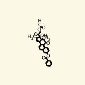 CC(=O)OCC(=O)[C@@]1(O)[C@H](C)C=C2c3ccc4cc(OC(=O)c5ccccc5)ccc4c3C(=O)C[C@@]21C